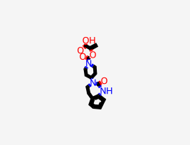 C=C(OC(=O)N1CCC(N2CCc3ccccc3NC2=O)CC1)C(=O)O